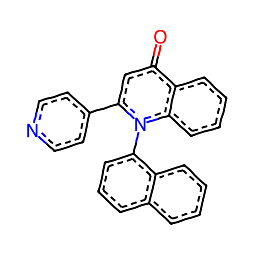 O=c1cc(-c2ccncc2)n(-c2cccc3ccccc23)c2ccccc12